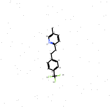 Cc1ccc(CCc2ccc(C(F)(F)F)cc2)nc1